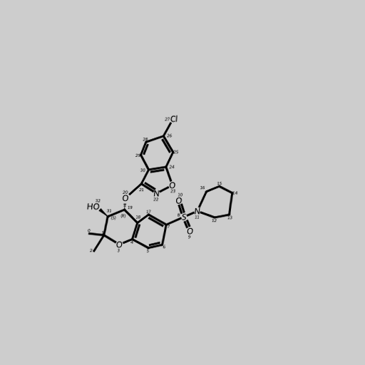 CC1(C)Oc2ccc(S(=O)(=O)N3CCCCC3)cc2[C@@H](Oc2noc3cc(Cl)ccc23)[C@@H]1O